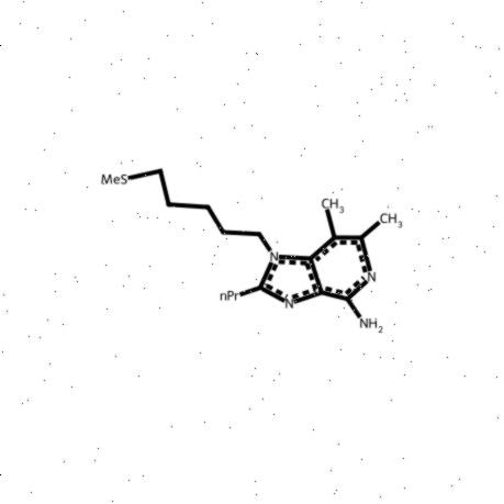 CCCc1nc2c(N)nc(C)c(C)c2n1CCCCCSC